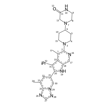 Cc1c(N2CCC(N3CCNC(=O)C3)CC2)ncc2[nH]c(-c3cc(C)c4ncnn4c3)c(C(C)C)c12